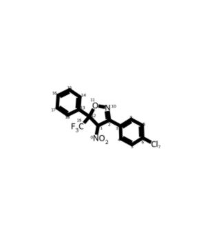 O=[N+]([O-])C1C(c2ccc(Cl)cc2)=NOC1(c1ccccc1)C(F)(F)F